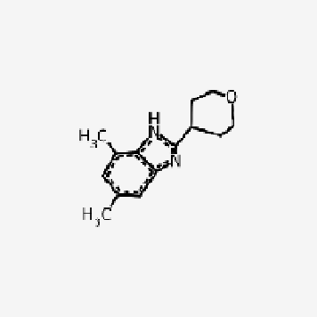 Cc1cc(C)c2[nH]c(C3CCOCC3)nc2c1